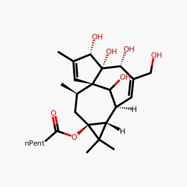 CCCCCC(=O)O[C@@]12C[C@@H](C)[C@]34C=C(C)[C@H](O)[C@@]3(O)[C@H](O)C(CO)=C[C@H](C4O)[C@@H]1C2(C)C